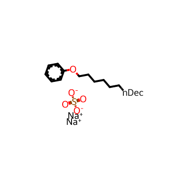 CCCCCCCCCCCCCCCCOc1ccccc1.O=S(=O)([O-])[O-].[Na+].[Na+]